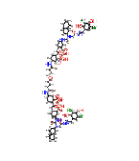 O=C(CN(C(=S)Nc1ccc(/C=C/c2ccc(NC(=S)CCCOCCCC(=S)Nc3ccc(/C=C/c4ccc(NC(=S)N(CC(=O)N/N=C/c5cc(Br)c(O)c(Br)c5O)c5ccc6ccccc6c5)cc4S(=O)(=O)O)c(S(=O)(=O)O)c3)cc2S(=O)(=O)O)c(S(=O)(=O)O)c1)c1ccc2ccccc2c1)N/N=C/c1cc(Br)c(O)c(Br)c1O